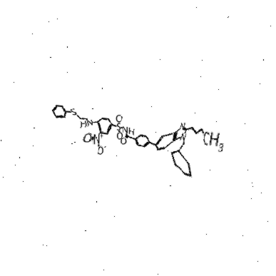 CCCCc1nc2cc(-c3ccc(C(=O)NS(=O)(=O)c4ccc(NCCSc5ccccc5)c([N+](=O)[O-])c4)cc3)ccc2n1CC1CCCCC1